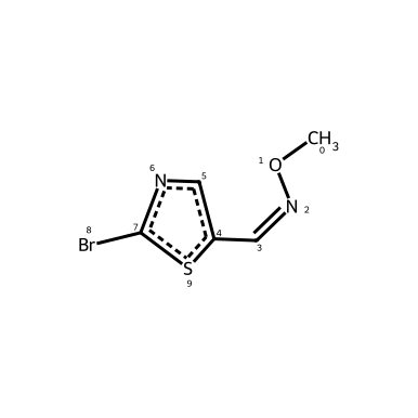 CO/N=C\c1cnc(Br)s1